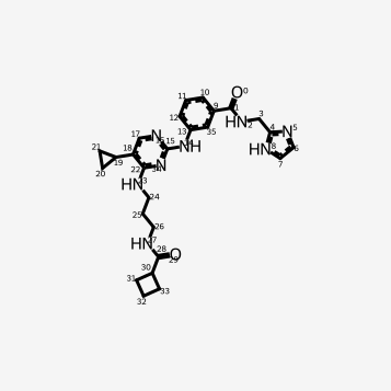 O=C(NCc1ncc[nH]1)c1cccc(Nc2ncc(C3CC3)c(NCCCNC(=O)C3CCC3)n2)c1